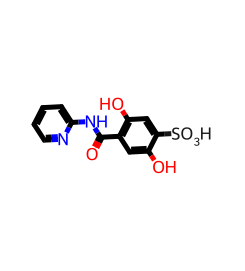 O=C(Nc1ccccn1)c1cc(O)c(S(=O)(=O)O)cc1O